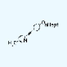 CCCCCCCOc1ccc(C#Cc2ccc(C)cn2)cc1